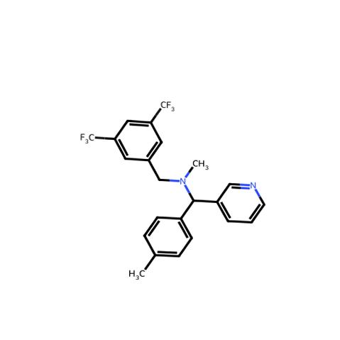 Cc1ccc(C(c2cccnc2)N(C)Cc2cc(C(F)(F)F)cc(C(F)(F)F)c2)cc1